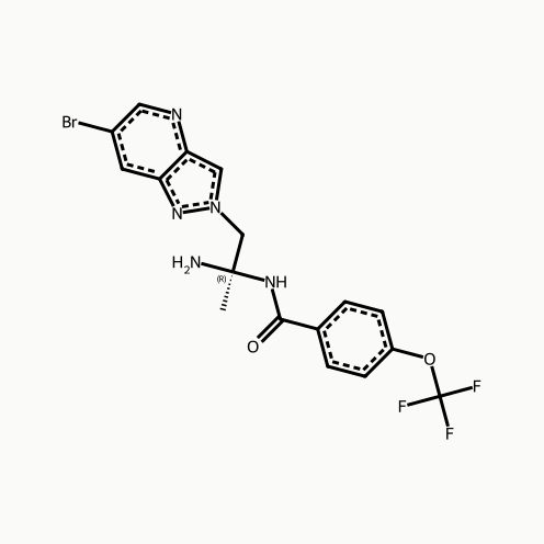 C[C@](N)(Cn1cc2ncc(Br)cc2n1)NC(=O)c1ccc(OC(F)(F)F)cc1